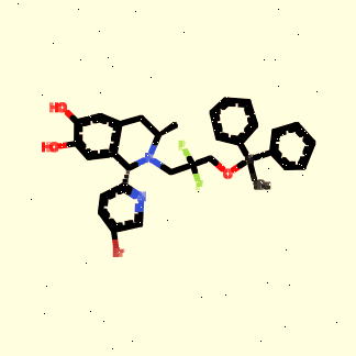 C[C@@H]1Cc2cc(O)c(O)cc2[C@@H](c2ccc(Br)cn2)N1CC(F)(F)CO[Si](c1ccccc1)(c1ccccc1)C(C)(C)C